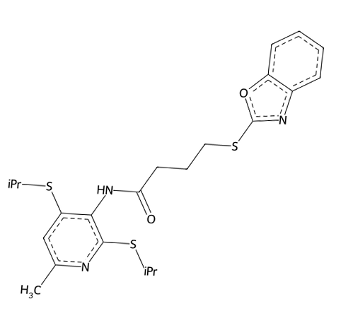 Cc1cc(SC(C)C)c(NC(=O)CCCSc2nc3ccccc3o2)c(SC(C)C)n1